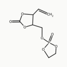 C=CC1OC(=O)OC1COP1(=O)OCCO1